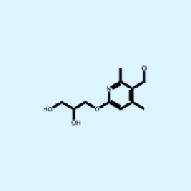 Cc1cc(OCC(O)CO)nc(C)c1C[O]